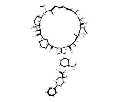 CO[C@H]1C[C@@H]2CC[C@@H](C)[C@@](O)(O2)C(=O)C(=O)N2CCCC(C2)C(=O)O[C@H]([C@H](C)C[C@@H]2CC[C@@H](OC(=O)C3(C)COB(c4ccccc4)OC3)[C@H](OC)C2)CC(=O)[C@H](C)/C=C(\C)[C@@H](O)[C@@H](OC)C(=O)[C@H](C)C[C@H](C)/C=C/C=C/C=C/1C